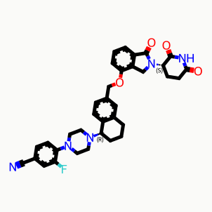 N#Cc1ccc(N2CCN([C@@H]3CCCc4cc(COc5cccc6c5CN([C@H]5CCC(=O)NC5=O)C6=O)ccc43)CC2)c(F)c1